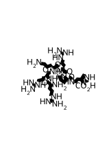 N=C(N)NCCC[C@H](NC(=O)[C@@H](N)CCCNC(=N)N)C(=O)N[C@@H](CCCCN)C(=O)N[C@@H](CCCNC(=N)N)C(=O)N1CCC[C@H]1C(=O)N[C@@H](Cc1c[nH]cn1)C(=O)O